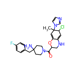 CC1(n2ccnc2)C=C2OC(C(=O)N3CCC(N)(Cc4ccc(F)cc4)CC3)CNC2=CC1Cl